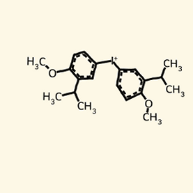 COc1ccc([I+]c2ccc(OC)c(C(C)C)c2)cc1C(C)C